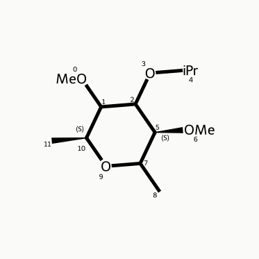 COC1C(OC(C)C)[C@@H](OC)C(C)O[C@H]1C